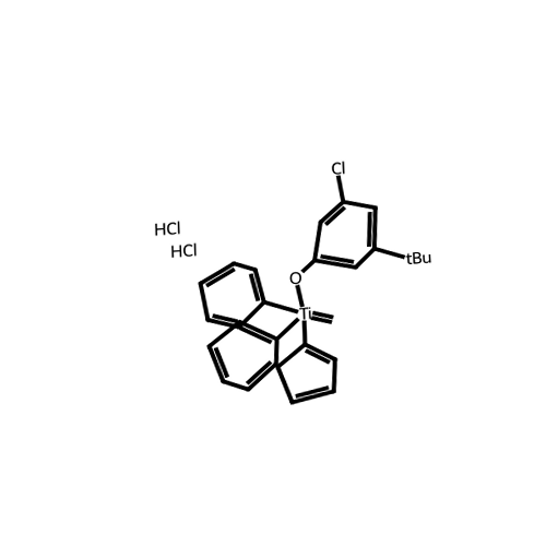 Cl.Cl.[CH2]=[Ti]([O]c1cc(Cl)cc(C(C)(C)C)c1)([C]1=CC=CC1)([c]1ccccc1)[c]1ccccc1